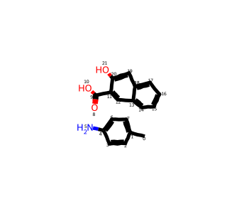 Cc1ccc(N)cc1.O=C(O)c1cc2ccccc2cc1O